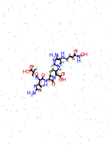 CC(C)(O/N=C(\C(=O)N[C@@H]1C(=O)N2C(C(=O)O)=C(C[n+]3cnc(N)c(NC/C=C/C(=O)NO)c3)CSC12)c1csc(N)n1)C(=O)O